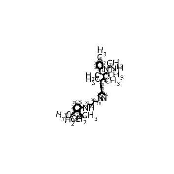 C=C(C(=C(/C)NC(C)=N)/C(C)=C(\C)C#Cc1cnn(CCCCNc2cccc(C(=C)C)c2C(=C)C)c1)c1ccc(C)cc1